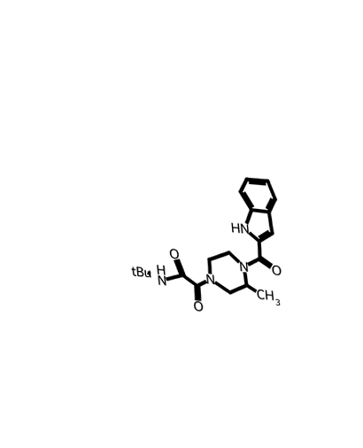 CC1CN(C(=O)C(=O)NC(C)(C)C)CCN1C(=O)c1cc2ccccc2[nH]1